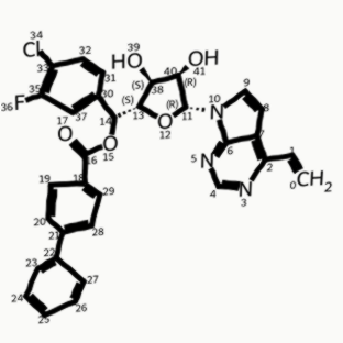 C=Cc1ncnc2c1ccn2[C@@H]1O[C@H](C(OC(=O)c2ccc(-c3ccccc3)cc2)c2ccc(Cl)c(F)c2)[C@@H](O)[C@H]1O